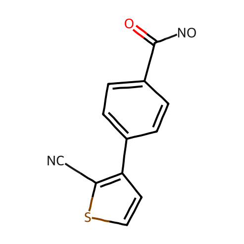 N#Cc1sccc1-c1ccc(C(=O)N=O)cc1